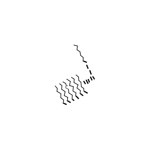 C=C.C=C.C=C.C=C.C=C.C=C.C=C.C=CCCCCCC.C=CCCCCCC.C=CCCCCCC.C=CCCCCCC.C=CCCCCCC.C=CCCCCCC.C=CCCCCCC